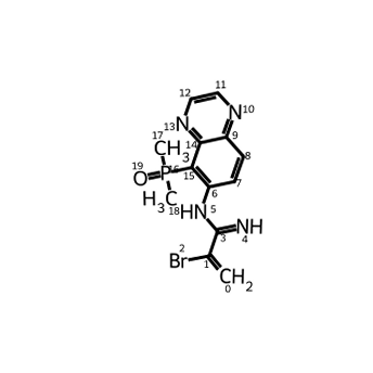 C=C(Br)C(=N)Nc1ccc2nccnc2c1P(C)(C)=O